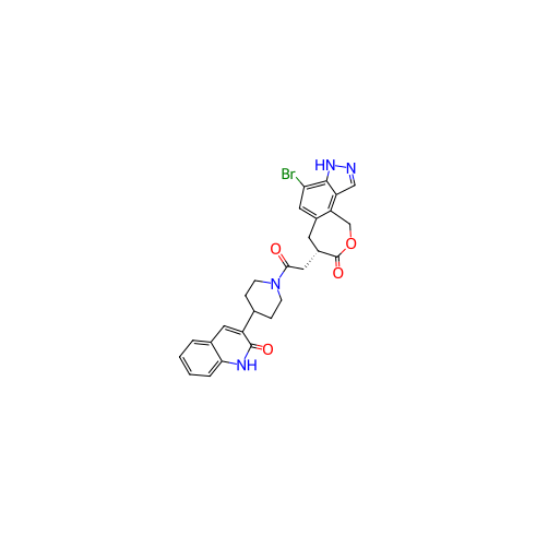 O=C1OCc2c(cc(Br)c3[nH]ncc23)C[C@H]1CC(=O)N1CCC(c2cc3ccccc3[nH]c2=O)CC1